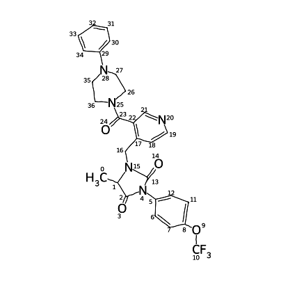 CC1C(=O)N(c2ccc(OC(F)(F)F)cc2)C(=O)N1Cc1ccncc1C(=O)N1CCN(c2ccccc2)CC1